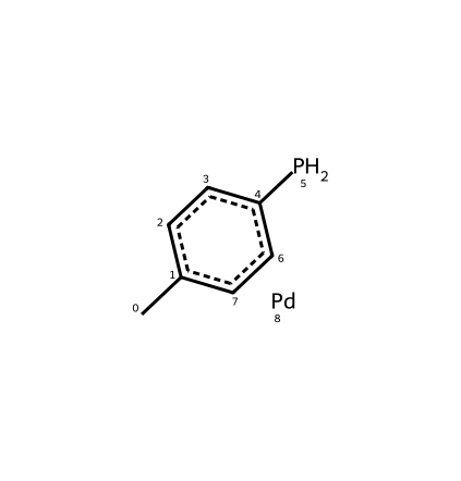 Cc1ccc(P)cc1.[Pd]